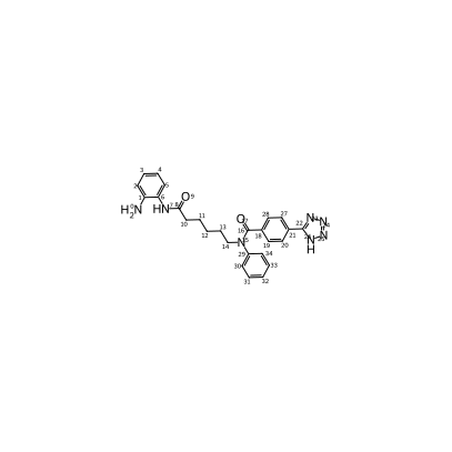 Nc1ccccc1NC(=O)CCCCCN(C(=O)c1ccc(-c2nnn[nH]2)cc1)c1ccccc1